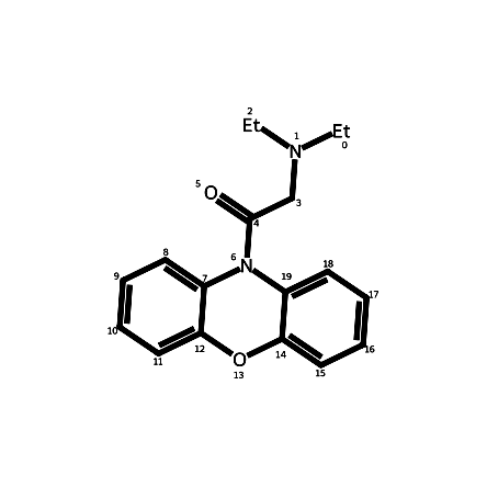 CCN(CC)CC(=O)N1c2ccccc2Oc2ccccc21